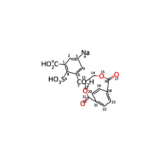 O=C(O)c1c[c]([Na])cc(C(=O)O)c1S(=O)(=O)O.O=C1OCCOC(=O)c2ccc1cc2